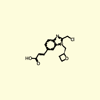 O=C(O)/C=C/c1ccc2nc(CCl)n(C[C@@H]3CCO3)c2c1